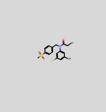 CC(C)CC(=O)N(Cc1ccc(S(C)(=O)=O)cc1)c1cc(F)cc(C#N)c1